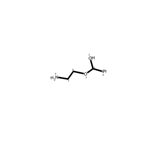 CC(C)C(O)OCCN